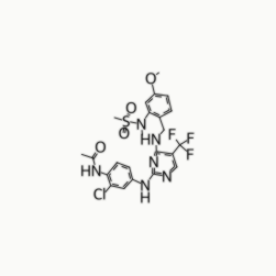 COc1ccc(CNc2nc(Nc3ccc(NC(C)=O)c(Cl)c3)ncc2C(F)(F)F)c(N(C)S(C)(=O)=O)c1